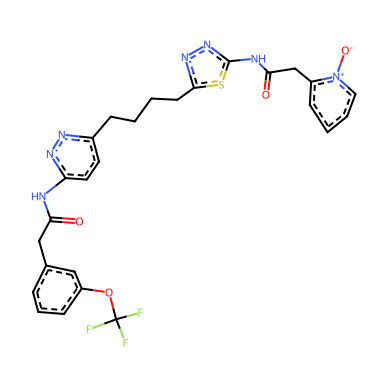 O=C(Cc1cccc(OC(F)(F)F)c1)Nc1ccc(CCCCc2nnc(NC(=O)Cc3cccc[n+]3[O-])s2)nn1